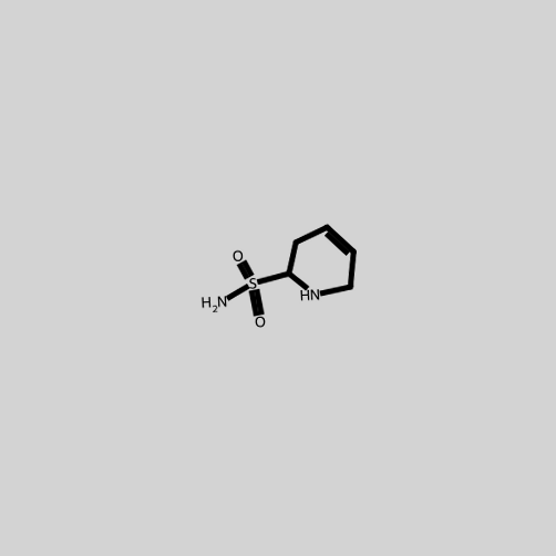 NS(=O)(=O)C1CC=CCN1